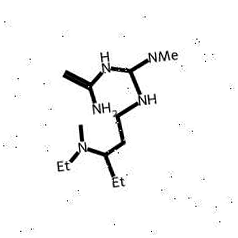 C=C(N)NC(NC)NCCC(CC)N(C)CC